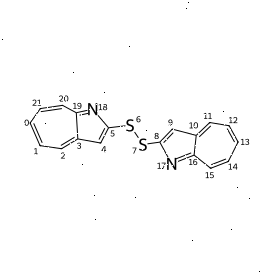 c1ccc2cc(SSc3cc4cccccc-4n3)nc-2cc1